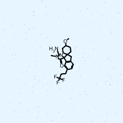 COC1CCC2(CC1)Cc1ccc(CCC(F)(F)F)cc1C21N=C(N)N(C)CC1=O